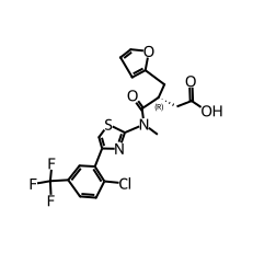 CN(C(=O)[C@@H](CC(=O)O)Cc1ccco1)c1nc(-c2cc(C(F)(F)F)ccc2Cl)cs1